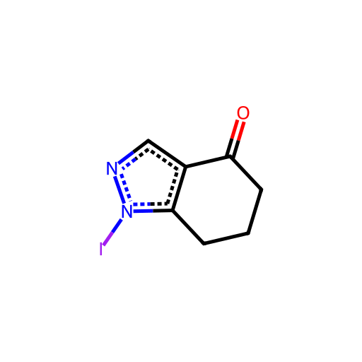 O=C1CCCc2c1cnn2I